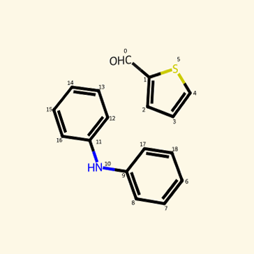 O=Cc1cccs1.c1ccc(Nc2ccccc2)cc1